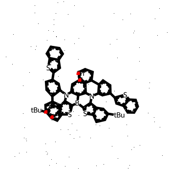 CC(C)c1cc2c3c(c1)N(c1cc(-c4cc5ccccc5s4)ccc1-c1ccccc1)c1c(sc4ccc(C(C)(C)C)cc14)B3c1sc3ccc(C(C)(C)C)cc3c1N2c1cc(-c2cc3ccccc3s2)ccc1-c1ccccc1